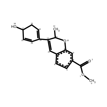 COC(=O)c1ccc2c(c1)OC(C)C(C1=CCC(O)C=C1)=C2